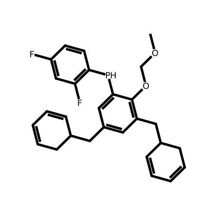 COCOc1c(CC2C=CC=CC2)cc(CC2C=CC=CC2)cc1Pc1ccc(F)cc1F